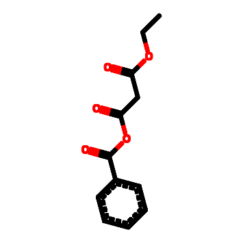 CCOC(=O)CC(=O)OC(=O)c1ccccc1